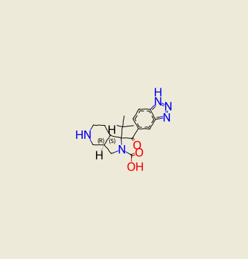 CC(C)(C)C1(C(=O)c2ccc3[nH]nnc3c2)[C@H]2CCNC[C@@H]2CN1C(=O)O